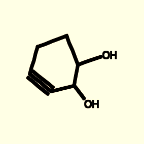 OC1C#CCCC1O